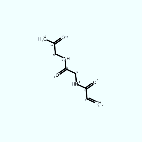 C=CC(=O)NCC(=O)NCC(C)=O